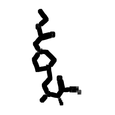 CCOC(=O)CN1CCN(CCN(C)[C@@H](C)C(N)=O)CC1